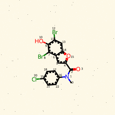 CN(C(=O)c1cc2c(Br)c(O)c(Br)cc2o1)c1ccc(Cl)cc1